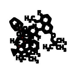 CCc1c(F)ccc2cc(OCC(C)(C)C)cc(-c3ncc4c(N5CC6CCC(C5)N6C(=O)OC(C)(C)C)nc(OCC5(C(=O)[Si](c6ccccc6)(c6ccccc6)C(C)(C)C)CC5)nc4c3F)c12